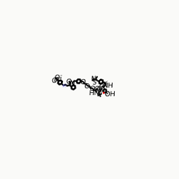 Cc1ncsc1-c1ccc([C@H](C)NC(=O)[C@@H]2C[C@@H](O)CN2C(=O)C(NC(=O)COCCOCCOc2ccc(CN3C(=O)C(=C/C=C/c4ccc([N+](=O)[O-])cc4)c4ccccc43)cc2)C(C)(C)C)cc1